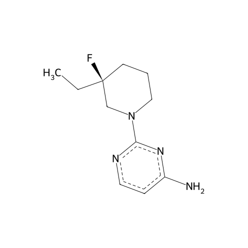 CC[C@]1(F)CCCN(c2nccc(N)n2)C1